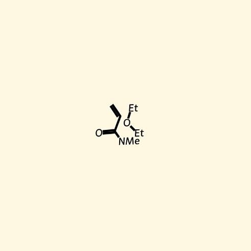 C=CC(=O)NC.CCOCC